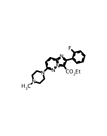 CCOC(=O)c1c(-c2ccccc2F)nc2ccc(N3CCN(C)CC3)nn12